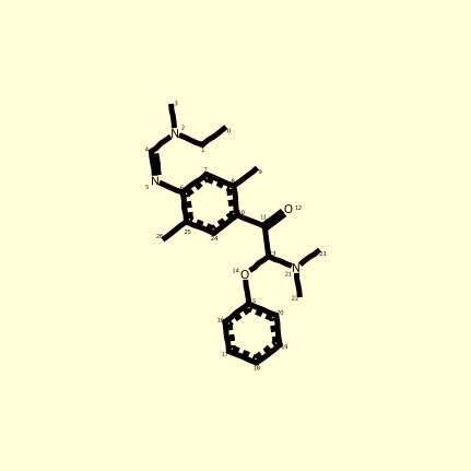 CCN(C)/C=N\c1cc(C)c(C(=O)C(Oc2ccccc2)N(C)C)cc1C